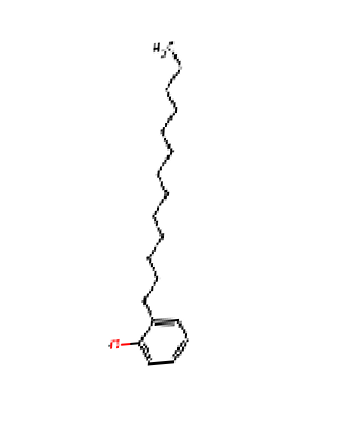 CCCCCCCCCCCCCc1ccccc1[O]